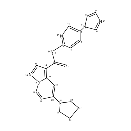 O=C(Nc1ccc(-n2ccnc2)cn1)c1cnn2ccc(N3CCCC3)cc12